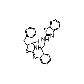 c1ccc(/N=C2\N[C@H]3c4ccccc4CC3S2)c(CCNc2nc3ccccc3s2)c1